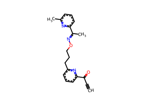 C#CC(=O)c1cccc(CCCO/N=C(\C)c2cccc(C)n2)n1